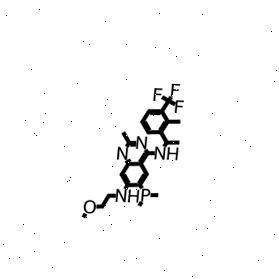 COCCNc1cc2nc(C)nc(NC(C)c3cccc(C(F)(F)F)c3C)c2cc1P(C)C